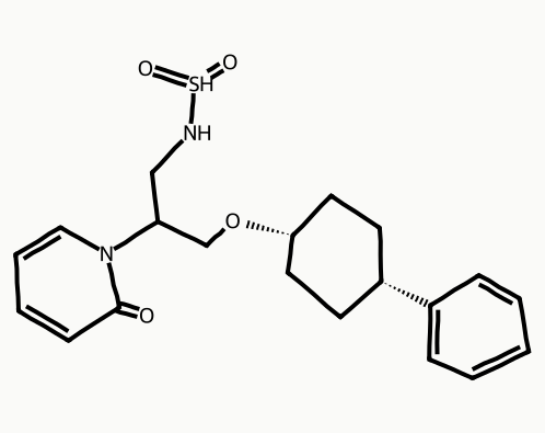 O=c1ccccn1C(CN[SH](=O)=O)CO[C@H]1CC[C@@H](c2ccccc2)CC1